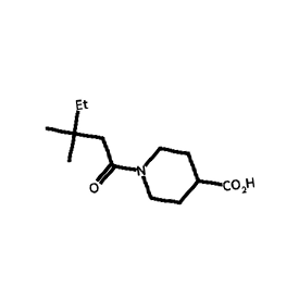 CCC(C)(C)CC(=O)N1CCC(C(=O)O)CC1